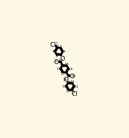 O=C(Oc1ccc(Cl)cc1)c1ccc(C(=O)Oc2ccc(Cl)cc2)cc1